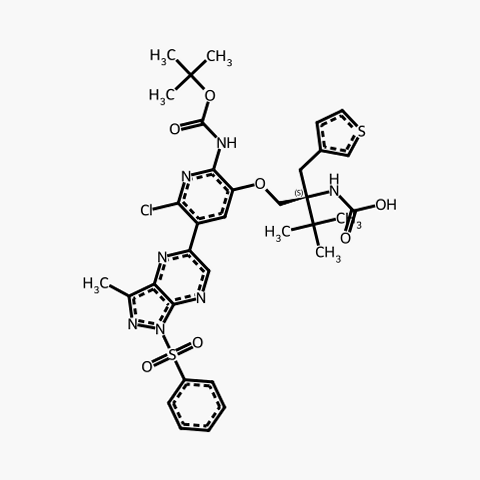 Cc1nn(S(=O)(=O)c2ccccc2)c2ncc(-c3cc(OC[C@@](Cc4ccsc4)(NC(=O)O)C(C)(C)C)c(NC(=O)OC(C)(C)C)nc3Cl)nc12